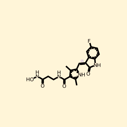 Cc1[nH]c(/C=C2\C(=O)Nc3ccc(F)cc32)c(C)c1C(=O)NCCC(=O)NO